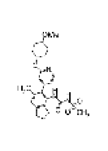 CO[C@H]1CC[C@@H](Oc2cc(-c3c(C)cc4c(c3NC(=O)NS(C)(=O)=O)CCC4)ccn2)CC1